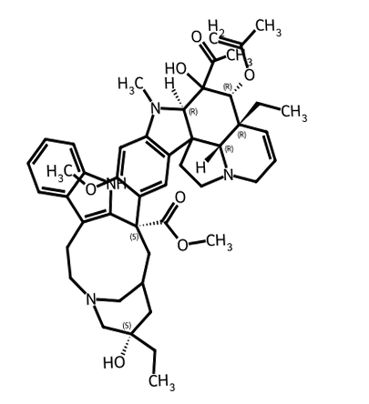 C=C(C)O[C@H]1C(O)(C(C)=O)[C@@H]2N(C)c3cc(OC)c([C@@]4(C(=O)OC)CC5CN(CCc6c4[nH]c4ccccc64)C[C@](O)(CC)C5)cc3C23CCN2CC=C[C@]1(CC)[C@H]23